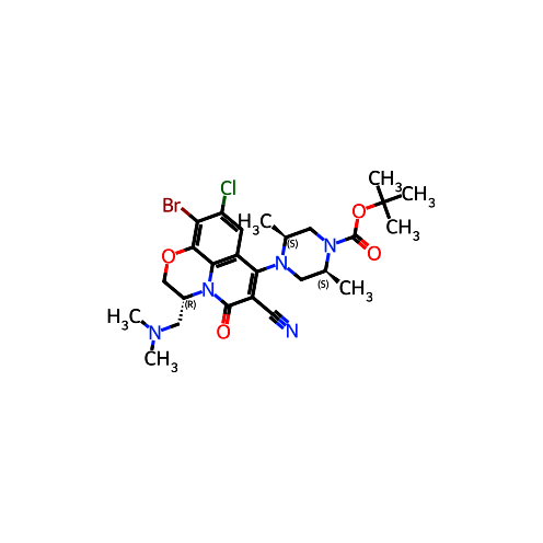 C[C@H]1CN(c2c(C#N)c(=O)n3c4c(c(Br)c(Cl)cc24)OC[C@H]3CN(C)C)[C@@H](C)CN1C(=O)OC(C)(C)C